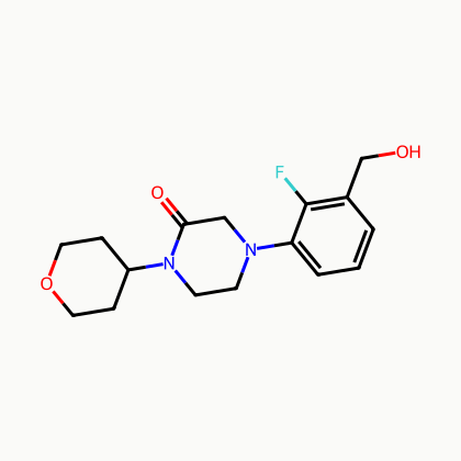 O=C1CN(c2cccc(CO)c2F)CCN1C1CCOCC1